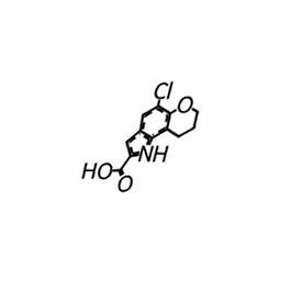 O=C(O)c1cc2cc(Cl)c3c(c2[nH]1)CCCO3